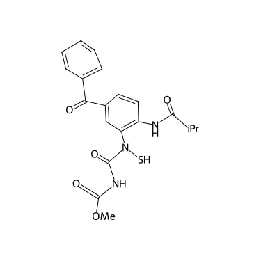 COC(=O)NC(=O)N(S)c1cc(C(=O)c2ccccc2)ccc1NC(=O)C(C)C